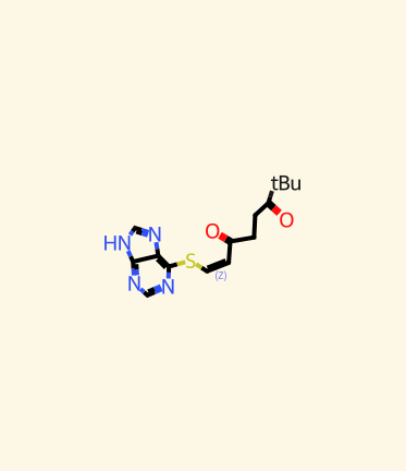 CC(C)(C)C(=O)CCC(=O)/C=C\Sc1ncnc2[nH]cnc12